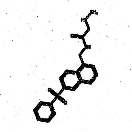 CNCC(=O)NCc1cccc2cc(S(=O)(=O)c3ccccc3)ccc12